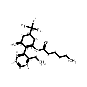 CCCCCC(=O)OC1=C(c2nncnc2CC)C(=O)CC(C(F)(F)F)C1